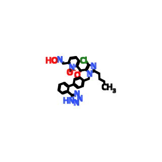 CCCCc1nc(Cl)c(C(=O)c2cccc(C=NO)[n+]2[O-])n1Cc1ccc(-c2ccccc2-c2nnn[nH]2)cc1